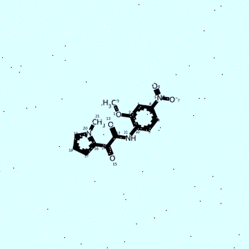 COc1cc([N+](=O)[O-])ccc1NC(=O)C(=O)c1cccn1C